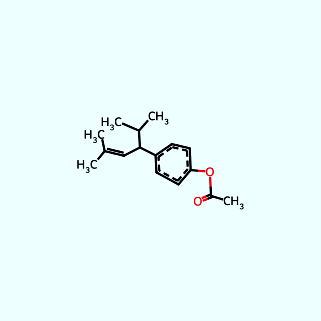 CC(=O)Oc1ccc(C(C=C(C)C)C(C)C)cc1